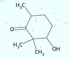 CC1CCC(O)C(C)(C)C1=O